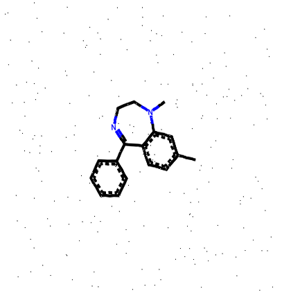 Cc1ccc2c(c1)N(C)CCN=C2c1ccccc1